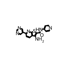 Nc1c(C(=O)Nc2ccncc2)sc2nc(-c3cncnc3)ccc12